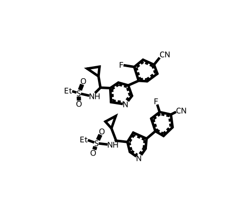 CCS(=O)(=O)NC(c1cncc(-c2ccc(C#N)c(F)c2)c1)C1CC1.CCS(=O)(=O)NC(c1cncc(-c2ccc(C#N)cc2F)c1)C1CC1